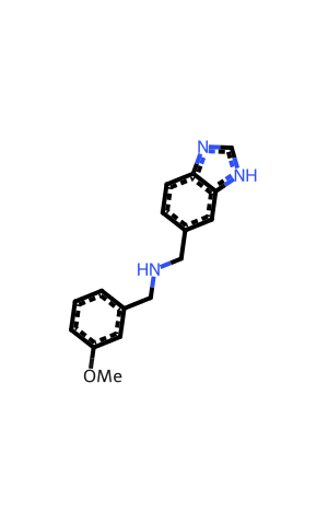 COc1cccc(CNCc2ccc3nc[nH]c3c2)c1